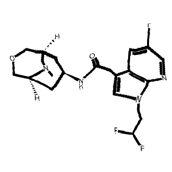 CN1[C@@H]2COC[C@H]1C[C@@H](NC(=O)c1cn(CC(F)F)c3ncc(F)cc13)C2